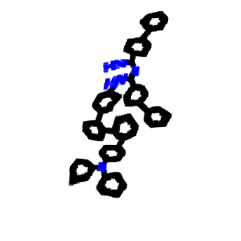 N=C(/N=C(\Nc1ccc(-c2ccccc2-c2ccccc2-c2ccc(N(c3ccccc3)c3ccccc3)cc2)cc1)c1ccc(-c2ccccc2)cc1)c1ccc(-c2ccccc2)cc1